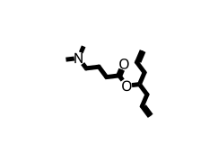 C=CCC(CC=C)OC(=O)CCCN(C)C